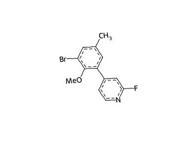 COc1c(Br)cc(C)cc1-c1ccnc(F)c1